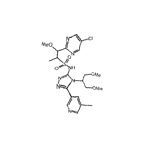 COCC(COC)n1c(NS(=O)(=O)C(C)C(OC)c2ncc(Cl)cn2)nnc1-c1cncc(C)c1